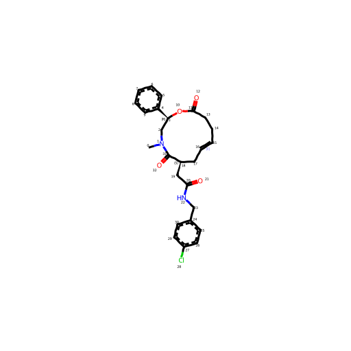 CN1C[C@@H](c2ccccc2)OC(=O)CC/C=C/C[C@@H](CC(=O)NCc2ccc(Cl)cc2)C1=O